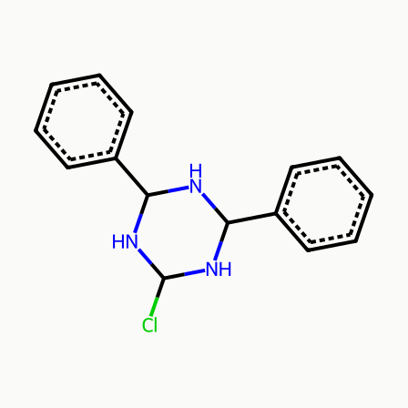 ClC1NC(c2ccccc2)NC(c2ccccc2)N1